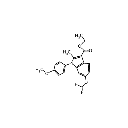 CCOC(=O)c1c(C)n(-c2ccc(OC)cc2)c2cc(OC(F)F)ccc12